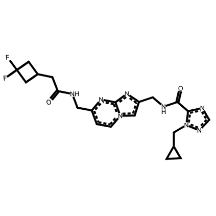 O=C(CC1CC(F)(F)C1)NCc1ccn2cc(CNC(=O)c3ncnn3CC3CC3)nc2n1